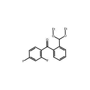 CCOC(OCC)c1ccccc1C(=O)c1ccc(F)cc1F